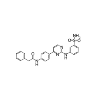 NS(=O)(=O)c1cccc(Nc2nccc(-c3ccc(NC(=O)Cc4ccccc4)cc3)n2)c1